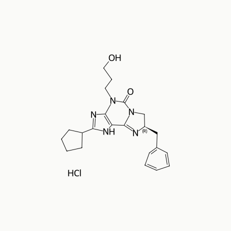 Cl.O=C1N2C[C@@H](Cc3ccccc3)N=C2c2[nH]c(C3CCCC3)nc2N1CCCO